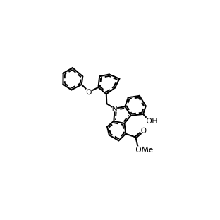 COC(=O)c1cccc2c1c1c(O)cccc1n2Cc1ccccc1Oc1ccccc1